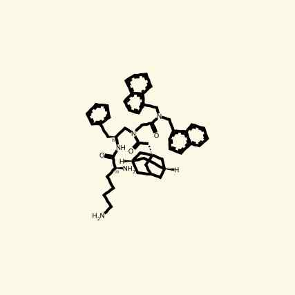 NCCCC[C@H](N)C(=O)N[C@@H](Cc1ccccc1)CN(CC(=O)N(Cc1cccc2ccccc12)Cc1cccc2ccccc12)C(=O)C[C@]12CC3C[C@H](C[C@H](C3)C1)C2